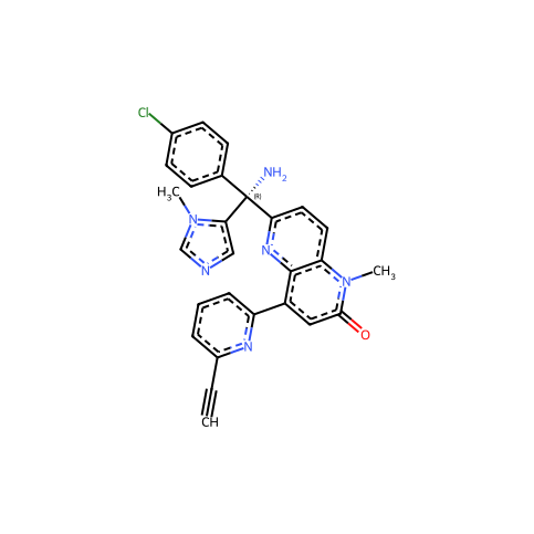 C#Cc1cccc(-c2cc(=O)n(C)c3ccc([C@](N)(c4ccc(Cl)cc4)c4cncn4C)nc23)n1